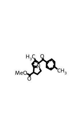 COC(=O)C1CCn2c1cc(C)c2C(=O)c1ccc(C)cc1